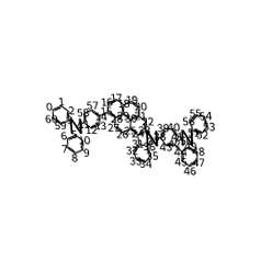 c1ccc(N(c2ccccc2)c2ccc(-c3ccc4ccc5cc6c(c7ccc3c4c57)c3ccccc3n6-c3ccc4c(c3)c3ccccc3n4-c3ccccc3)cc2)cc1